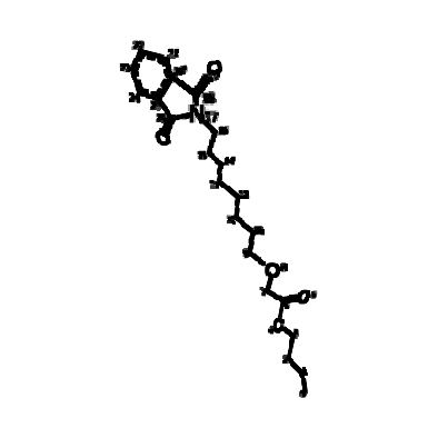 CCCCOC(=O)COCCCCCCCCN1C(=O)c2ccccc2C1=O